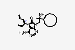 C=C/C=C(\C=C)n1c(=O)n(CC(C)(N)C2CCCCCCCCC2)c2ncnc(N)c21